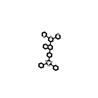 c1ccc(-c2nc(-c3ccccc3)nc(-c3ccc(-c4ccc(-c5cc(-c6cccnc6)nc(-c6ccccn6)c5)c5ccccc45)cc3)n2)cc1